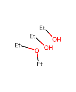 CCO.CCO.CCOCC